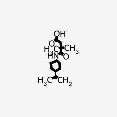 C=C(C)[C@H]1CC[C@H](NC(=O)C(C)(C)CC(=O)O)CC1